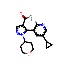 O=C(O)c1cnn(C2CCOCC2)c1-c1cc(C2CC2)cnc1F